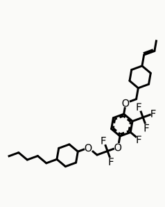 C/C=C/C1CCC(COc2ccc(OC(F)(F)COC3CCC(CCCCC)CC3)c(F)c2C(F)(F)F)CC1